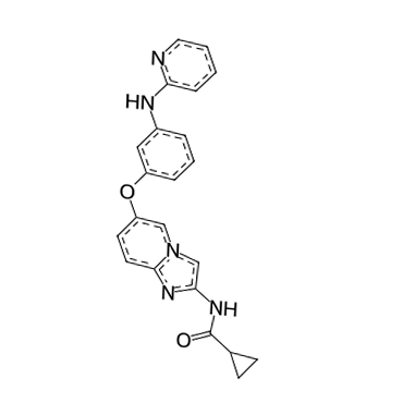 O=C(Nc1cn2cc(Oc3cccc(Nc4ccccn4)c3)ccc2n1)C1CC1